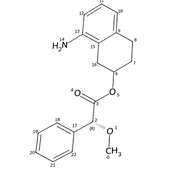 CO[C@@H](C(=O)OC1CCc2cccc(N)c2C1)c1ccccc1